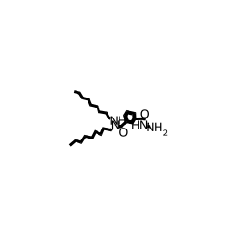 CCCCCCCCCNN(CCCCCCCCC)C(=O)c1cccc(C(=O)NN)c1